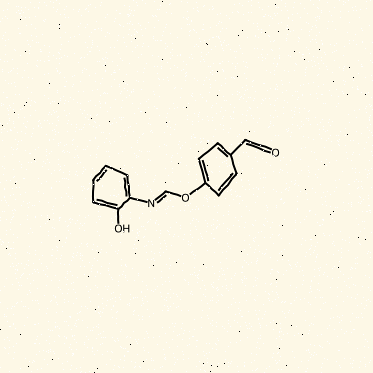 O=Cc1ccc(OC=Nc2ccccc2O)cc1